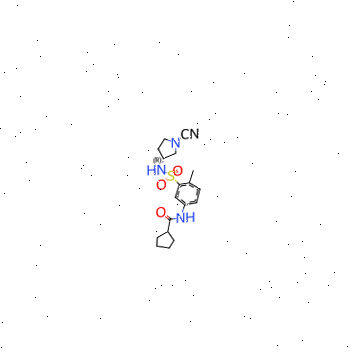 Cc1ccc(NC(=O)C2CCCC2)cc1S(=O)(=O)N[C@@H]1CCN(C#N)C1